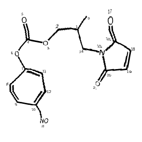 CC(COC(=O)Oc1ccc(N=O)cc1)CN1C(=O)C=CC1=O